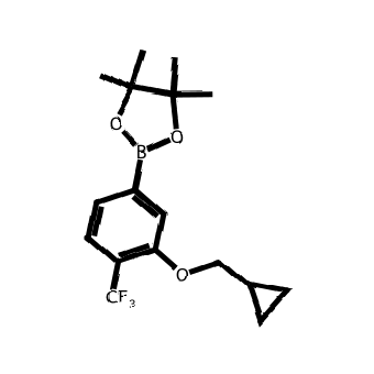 CC1(C)OB(c2ccc(C(F)(F)F)c(OCC3CC3)c2)OC1(C)C